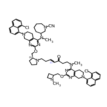 CN(CCC(=O)/C=C/CCN1CCC[C@H]1COc1nc2c(c(N(C)C3CCCCN(C#N)C3)n1)CCN(c1cccc3cccc(Cl)c13)C2)c1nc(OCC2CCN2C)nc2c1CCN(c1cccc3cccc(Cl)c13)C2